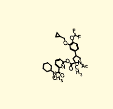 CC(=O)N1CC(c2ccc(OC(F)F)c(OCC3CC3)c2)C[C@]1(C)C(=O)Oc1cccc(C(=O)N(C)C2CCCCC2)n1